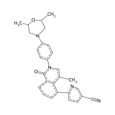 Cc1cn(-c2ccc(N3CC(C)OC(C)C3)cc2)c(=O)c2cccc(-c3ccc(C#N)cn3)c12